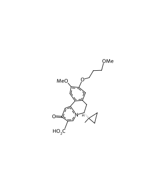 COCCCOc1cc2c(cc1OC)-c1cc(=O)c(C(=O)O)cn1[C@@H](C1(C)CC1)C2